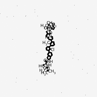 Cc1c(-c2ccn3c(=O)c(CN(C[C@@H]4CCC(=O)N4)C(=O)OC(C)(C)C)cnc3c2)cccc1-c1cccc(-c2ccc3c(c2)CC(NC(=O)[C@H](CO)NC(=O)OC(C)(C)C)C3)c1Cl